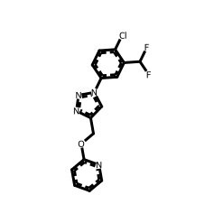 FC(F)c1cc(-n2cc(COc3ccccn3)nn2)ccc1Cl